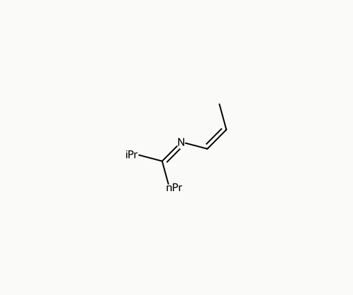 C/C=C\N=C(/CCC)C(C)C